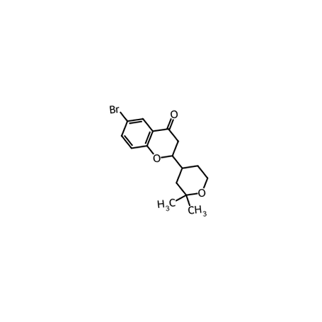 CC1(C)CC(C2CC(=O)c3cc(Br)ccc3O2)CCO1